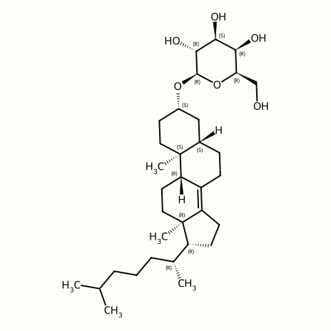 CC(C)CCC[C@@H](C)[C@H]1CCC2=C3CC[C@H]4C[C@@H](O[C@@H]5O[C@H](CO)[C@H](O)[C@H](O)[C@H]5O)CC[C@]4(C)[C@H]3CC[C@@]21C